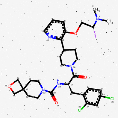 CN(C)[C@H](I)COc1cccnc1C1CCN(C(=O)[C@@H](Cc2ccc(Cl)cc2Cl)NC(=O)N2CCC3(CC2)COC3)CC1